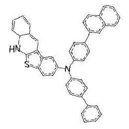 C1=CC2=Cc3c(sc4ccc(N(c5ccc(-c6ccccc6)cc5)c5ccc(-c6ccc7ccccc7c6)cc5)cc34)NC2C=C1